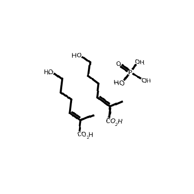 CC(=CCCCO)C(=O)O.CC(=CCCCO)C(=O)O.O=P(O)(O)O